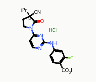 CC(C)[C@]1(C#N)CCN(c2ccnc(Nc3ccc(C(=O)O)c(F)c3)n2)C1=O.Cl